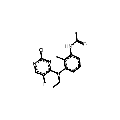 CCN(c1cccc(NC(C)=O)c1C)c1nc(Cl)ncc1F